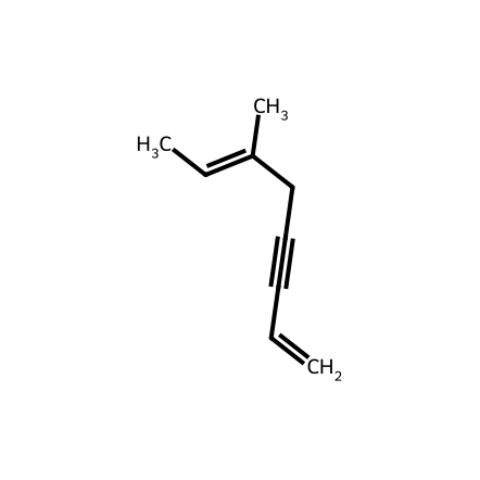 C=CC#CCC(C)=CC